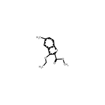 CCOc1c(C(=O)OC)sc2ccc(C)cc12